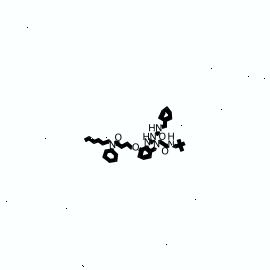 CCCCCCN(C(=O)CCCOc1cccc2c1N=C(NC(=O)NCc1ccccc1)N(CC(=O)NCC(C)(C)C)C2)C1CCCCC1